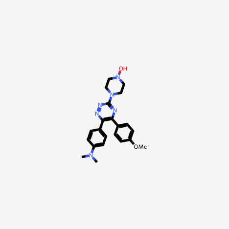 COc1ccc(-c2nc(N3CCN(O)CC3)nnc2-c2ccc(N(C)C)cc2)cc1